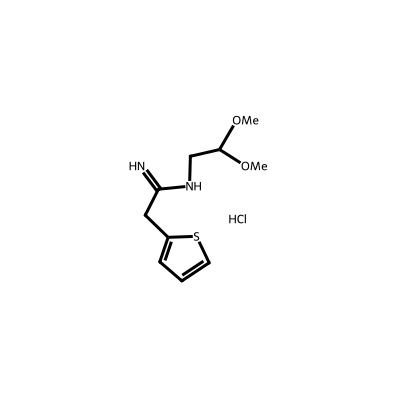 COC(CNC(=N)Cc1cccs1)OC.Cl